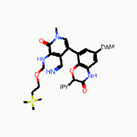 COc1cc2c(c(-c3cn(C)c(=O)c(NCOCCS(C)(C)C)c3C=N)c1)OC(C(C)C)C(=O)N2